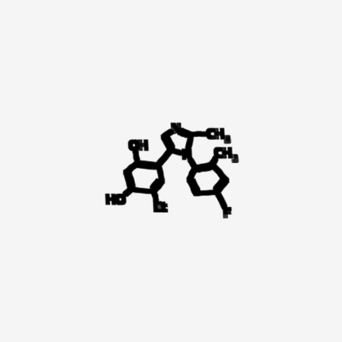 CCc1cc(-c2cnc(C)n2-c2ccc(F)cc2C)c(O)cc1O